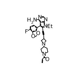 C=CC(=O)N1CCC(N2CC(C#Cc3c(-c4ccc(F)c5c4OCO5)c4c(N)ncnc4n3CC)C2)CC1